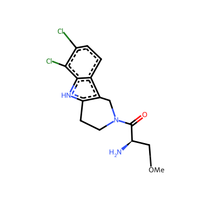 COC[C@@H](N)C(=O)N1CCc2[nH]c3c(Cl)c(Cl)ccc3c2C1